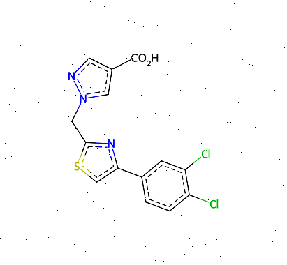 O=C(O)c1cnn(Cc2nc(-c3ccc(Cl)c(Cl)c3)cs2)c1